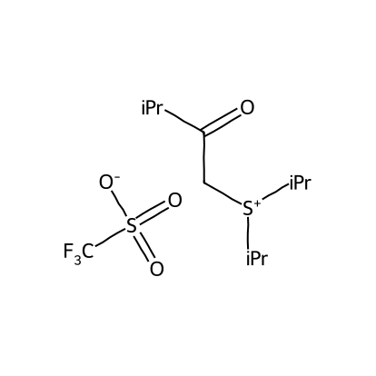 CC(C)C(=O)C[S+](C(C)C)C(C)C.O=S(=O)([O-])C(F)(F)F